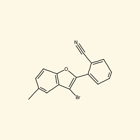 Cc1ccc2oc(-c3ccccc3C#N)c(Br)c2c1